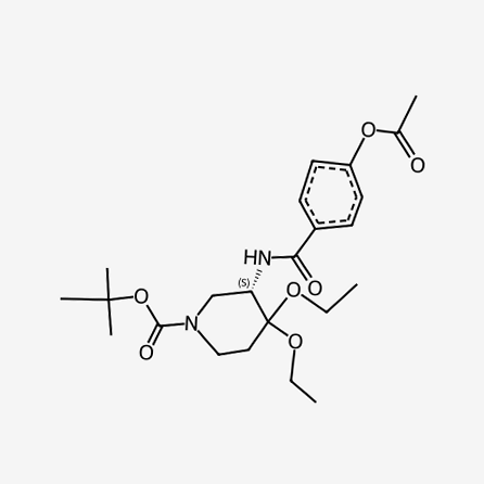 CCOC1(OCC)CCN(C(=O)OC(C)(C)C)C[C@@H]1NC(=O)c1ccc(OC(C)=O)cc1